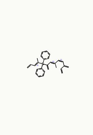 C=C/C=C(\C)[Si](C(=C)/C=C(C)/C=C\C(=C)C=C)(c1ccccc1)c1ccccc1